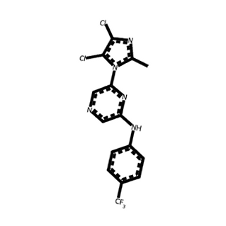 Cc1nc(Cl)c(Cl)n1-c1cncc(Nc2ccc(C(F)(F)F)cc2)n1